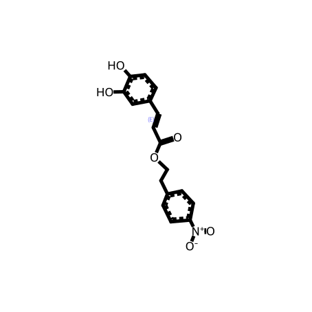 O=C(/C=C/c1ccc(O)c(O)c1)OCCc1ccc([N+](=O)[O-])cc1